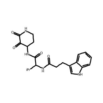 CC(C)C(NC(=O)CCc1c[nH]c2ccccc12)C(=O)NC1CCNC(=O)C1=O